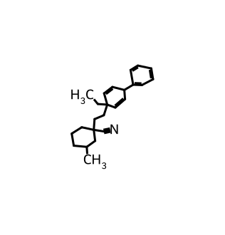 CCC1(CCC2(C#N)CCCC(C)C2)C=CC(c2ccccc2)C=C1